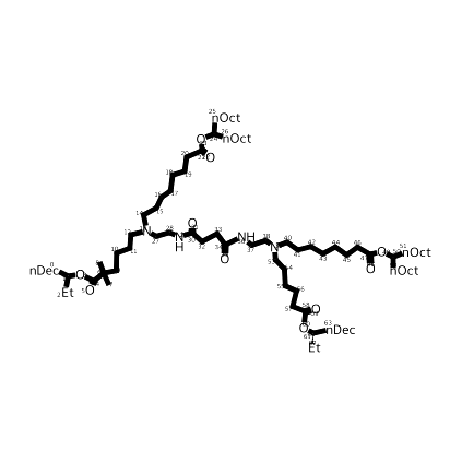 CCCCCCCCCCC(CC)OC(=O)C(C)(C)CCCCN(CCCCCCCC(=O)OC(CCCCCCCC)CCCCCCCC)CCNC(=O)CCC(=O)NCCN(CCCCCCCC(=O)OC(CCCCCCCC)CCCCCCCC)CCCCCC(=O)O[C@@H](CC)CCCCCCCCCC